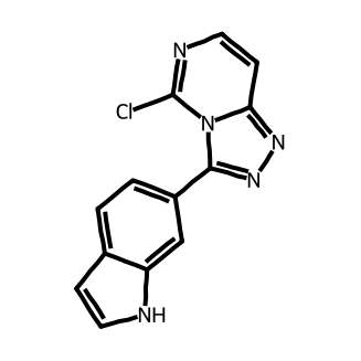 Clc1nccc2nnc(-c3ccc4cc[nH]c4c3)n12